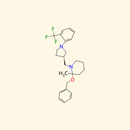 CC1(OCc2ccccc2)CCCCN1C[C@H]1CCN(c2ccccc2C(F)(F)F)C1